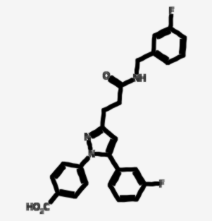 O=C(CCc1cc(-c2cccc(F)c2)n(-c2ccc(C(=O)O)cc2)n1)NCc1cccc(F)c1